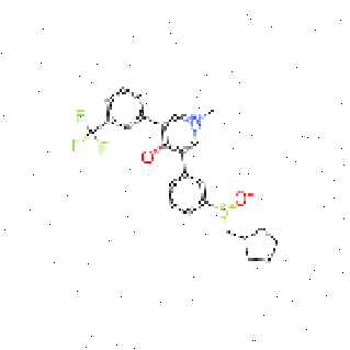 Cn1cc(-c2cccc([S+]([O-])CC3CCCC3)c2)c(=O)c(-c2cccc(C(F)(F)F)c2)c1